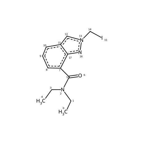 CCN(CC)C(=O)c1cccc2cn(CI)nc12